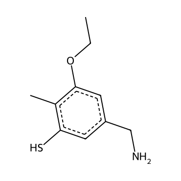 CCOc1cc(CN)cc(S)c1C